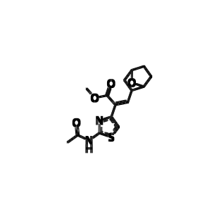 COC(=O)/C(=C\C1CC2CCC1O2)c1csc(NC(C)=O)n1